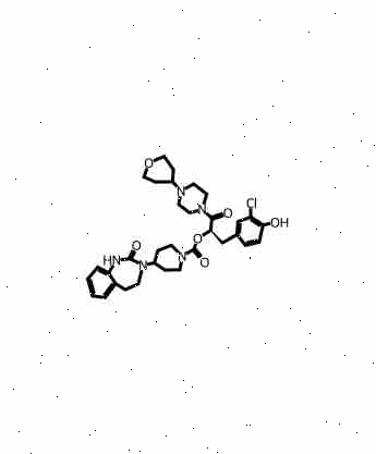 O=C(O[C@H](Cc1ccc(O)c(Cl)c1)C(=O)N1CCN(C2CCOCC2)CC1)N1CCC(N2CCc3ccccc3NC2=O)CC1